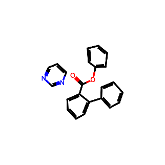 O=C(Oc1ccccc1)c1ccccc1-c1ccccc1.c1cncnc1